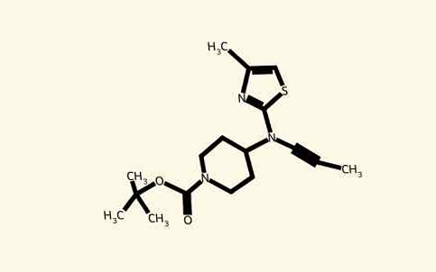 CC#CN(c1nc(C)cs1)C1CCN(C(=O)OC(C)(C)C)CC1